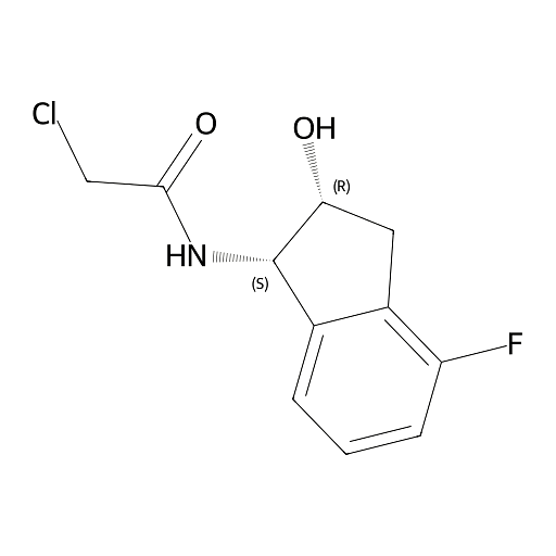 O=C(CCl)N[C@H]1c2cccc(F)c2C[C@H]1O